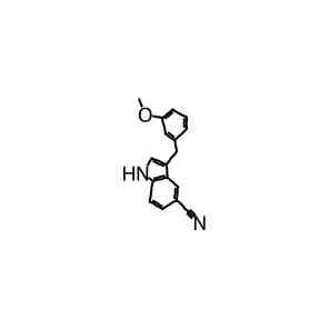 COc1cccc(Cc2c[nH]c3ccc(C#N)cc23)c1